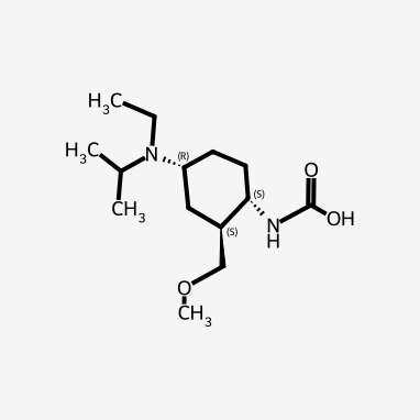 CCN(C(C)C)[C@@H]1CC[C@H](NC(=O)O)[C@@H](COC)C1